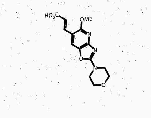 COc1nc2nc(N3CCOCC3)oc2cc1/C=C/C(=O)O